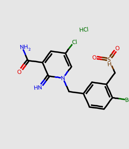 Cl.N=c1c(C(N)=O)cc(Cl)cn1Cc1ccc(Br)c(C[SH](=O)=O)c1